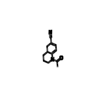 CC(=O)N1CCCC2CC(C#N)=CC=C21